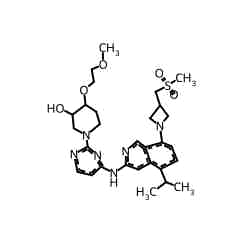 COCCOC1CCN(c2nccc(Nc3cc4c(C(C)C)ccc(N5CC(CS(C)(=O)=O)C5)c4cn3)n2)CC1O